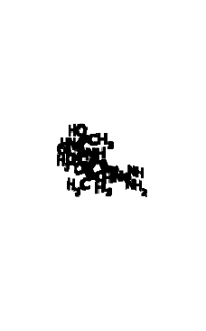 CC(C)N[C@H](C(=O)N[C@@H](CCCNC(=N)N)C(=O)C(C)C)C(C)O